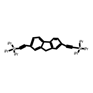 CC(C)[Si](C#Cc1ccc2c(c1)Cc1cc(C#C[Si](C(C)C)(C(C)C)C(C)C)ccc1-2)(C(C)C)C(C)C